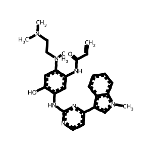 C=CC(=O)Nc1cc(Nc2nccc(-c3cn(C)c4ccccc34)n2)c(O)cc1N(C)CCN(C)C